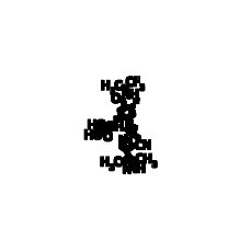 Cc1n[nH]c(C)c1-c1cnn(C2(CC#N)CN(c3cc(F)c(C(=O)N[C@@H](C)C(F)(F)F)cc3F)C2)c1.O=P(O)(O)O